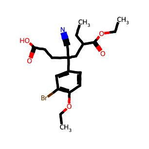 CCOC(=O)C(CC)CC(C#N)(CCC(=O)O)c1ccc(OCC)c(Br)c1